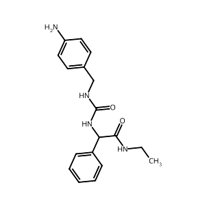 CCNC(=O)C(NC(=O)NCc1ccc(N)cc1)c1ccccc1